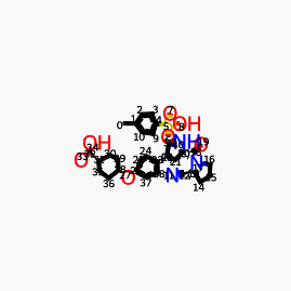 Cc1ccc(S(=O)(=O)O)cc1.N#C[C@@H]1CCCN1C(=O)[C@@H]1C[C@H](c2ccc(O[C@H]3CC[C@H](C(=O)O)CC3)cc2)CN1